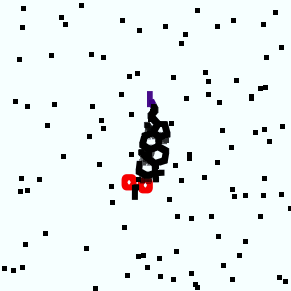 CC(=O)O[C@H]1CC[C@]23C[C@]24CC[C@]2(C)C(CCI)CC[C@@]2(C)C4CCC3C1(C)C